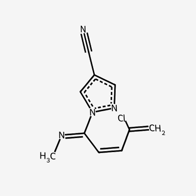 C=C(Cl)/C=C\C(=N/C)n1cc(C#N)cn1